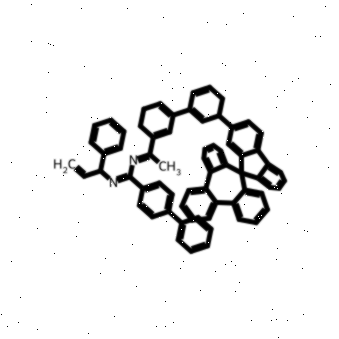 C=CC(/N=C(\N=C(/C)C1=CC(C2=CC(c3ccc4c(c3)C3(c5ccccc5-c5ccccc5-c5ccccc53)c3ccccc3-4)CC=C2)=CCC1)c1ccc(-c2ccccc2)cc1)c1ccccc1